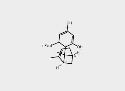 CCCCCC1C=C(O)C=C(O)C1C1(C)[C@H]2CC=C(C)[C@@H]1C2